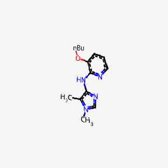 CCCCOc1cccnc1Nc1ncn(C)c1C